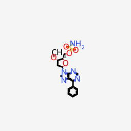 CO[C@H]1C[C@H](n2cnc3c(-c4ccccc4)ncnc32)O[C@@H]1COS(N)(=O)=O